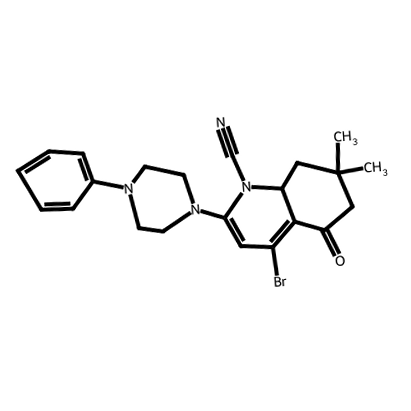 CC1(C)CC(=O)C2=C(Br)C=C(N3CCN(c4ccccc4)CC3)N(C#N)C2C1